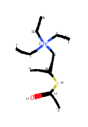 CC[N+](CC)(CC)CC(C)SC(C)=O